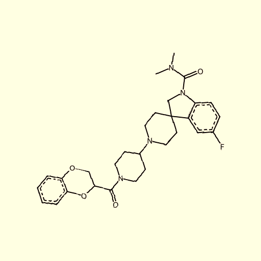 CN(C)C(=O)N1CC2(CCN(C3CCN(C(=O)C4COc5ccccc5O4)CC3)CC2)c2cc(F)ccc21